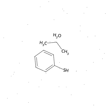 CCC.O.Sc1ccccc1